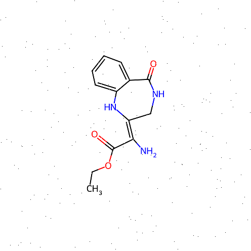 CCOC(=O)C(N)=C1CNC(=O)c2ccccc2N1